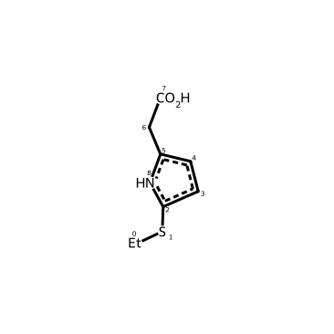 CCSc1ccc(CC(=O)O)[nH]1